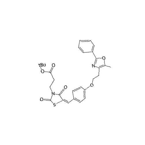 Cc1oc(-c2ccccc2)nc1CCOc1ccc(C=C2SC(=O)N(CCC(=O)OC(C)(C)C)C2=O)cc1